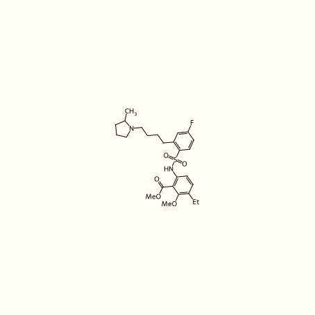 CCc1ccc(NS(=O)(=O)c2ccc(F)cc2CCCCN2CCCC2C)c(C(=O)OC)c1OC